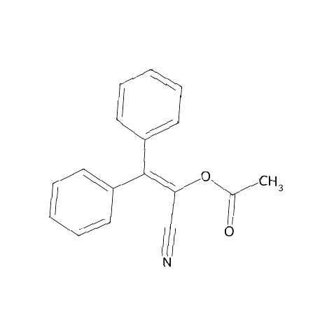 CC(=O)OC(C#N)=C(c1ccccc1)c1ccccc1